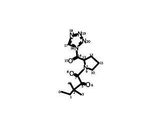 CCC(C)(C)C(=O)C(=O)N1CCCC1C(=O)n1cnnn1